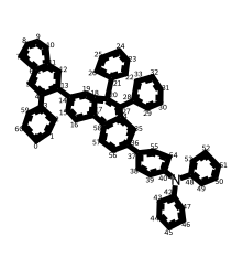 c1ccc(-c2cc3ccccc3cc2-c2ccc3c(c2)c(-c2ccccc2)c(-c2ccccc2)c2cc(-c4ccc(N(c5ccccc5)c5ccccc5)cc4)ccc23)cc1